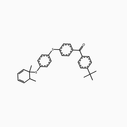 CC1C=CC=CC1(C)Sc1ccc(Sc2ccc(C(=O)c3ccc(C(C)(C)C)cc3)cc2)cc1